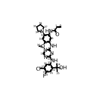 C=CC(=O)Nc1cc(Nc2ncnc(Nc3cc(Cl)c(F)cc3C(C)(C)O)n2)c(OC)cc1N1CCCC1